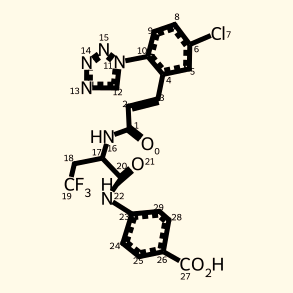 O=C(/C=C/c1cc(Cl)ccc1-n1cnnn1)NC(CC(F)(F)F)C(=O)Nc1ccc(C(=O)O)cc1